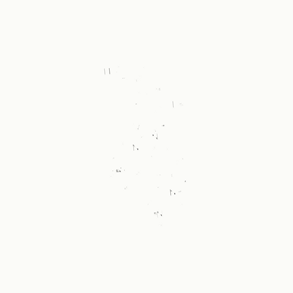 COC(=O)c1ccc(CN(C(=O)N2CCS(=O)(=O)CC2)c2ccc(CN3CCN(C)CC3)cc2)c(F)c1